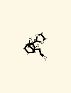 O=CC[C@H]1C2CCC(CC2)[C@@H]1C1OCCO1